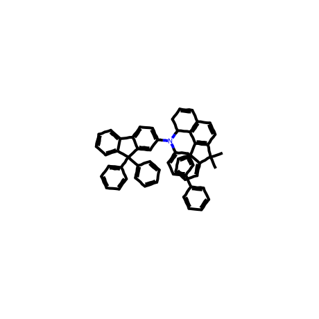 CC1(C)c2ccccc2-c2c1ccc1c2C(N(c2ccc(-c3ccccc3)cc2)c2ccc3c(c2)C(c2ccccc2)(c2ccccc2)c2ccccc2-3)CC=C1